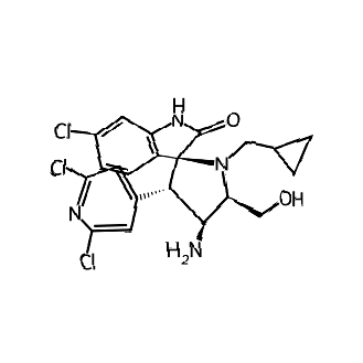 N[C@@H]1[C@H](CO)N(CC2CC2)[C@@]2(C(=O)Nc3cc(Cl)ccc32)[C@H]1c1cc(Cl)nc(Cl)c1